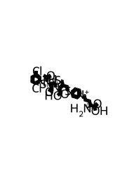 CC(=O)N(Sc1cc(Cl)ccc1Cl)[C@H]1C(=O)N2C(C(=O)O)=C(CSc3cc[n+](CCC[C@H](N)C(=O)O)cc3)CS[C@H]12